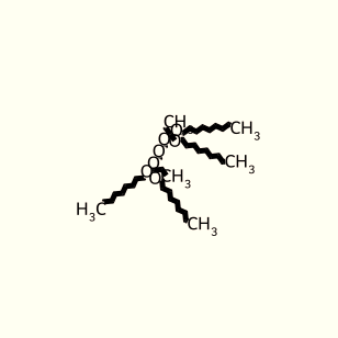 CCCCCCCCCOC(CC)(OCCCCCCCCC)OCOCOC(CC)(OCCCCCCCCC)OCCCCCCCCC